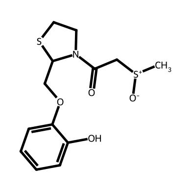 C[S+]([O-])CC(=O)N1CCSC1COc1ccccc1O